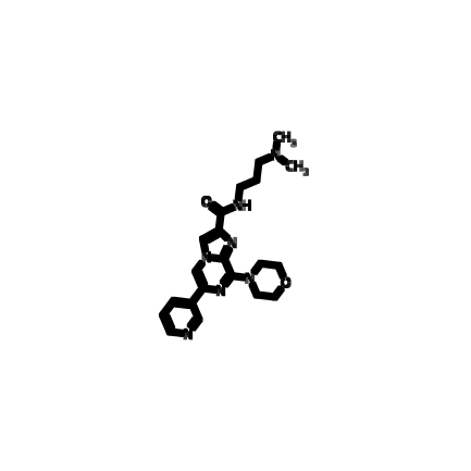 CN(C)CCCNC(=O)c1cn2cc(-c3cccnc3)nc(N3CCOCC3)c2n1